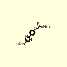 CCCCCCCCCCc1cnc(-c2ccc(OCC(F)CCCCCC)cc2)nc1